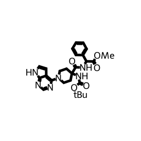 COC(=O)C(NC(=O)C1(NC(=O)OC(C)(C)C)CCN(c2ncnc3[nH]ccc23)CC1)c1ccccc1